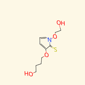 OCCCCOc1cccn(OCCO)c1=S